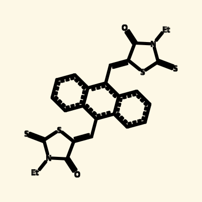 CCN1C(=O)C(=Cc2c3ccccc3c(C=C3SC(=S)N(CC)C3=O)c3ccccc23)SC1=S